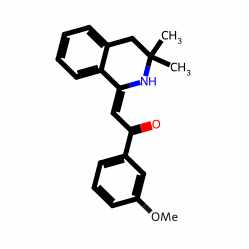 COc1cccc(C(=O)C=C2NC(C)(C)Cc3ccccc32)c1